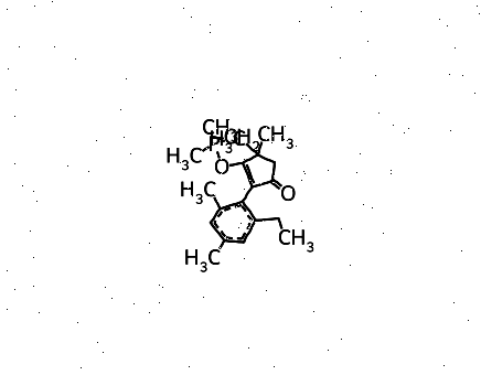 C=P(C)(C)OC1=C(c2c(C)cc(C)cc2CC)C(=O)CC1(C)C